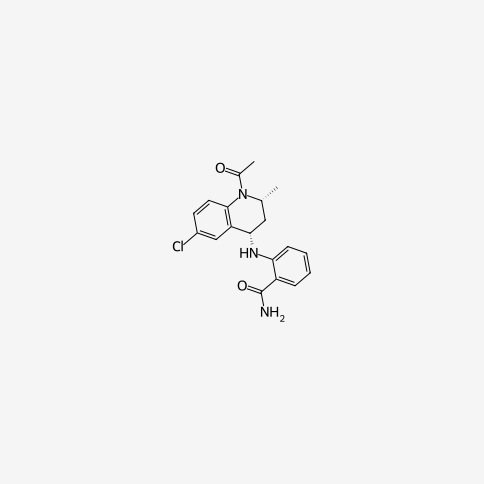 CC(=O)N1c2ccc(Cl)cc2[C@@H](Nc2ccccc2C(N)=O)C[C@H]1C